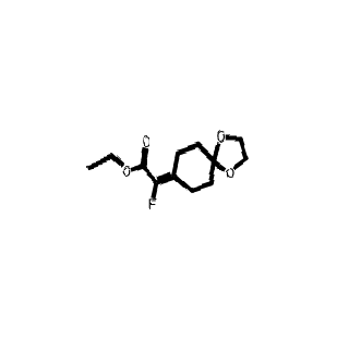 CCOC(=O)C(F)=C1CCC2(CC1)OCCO2